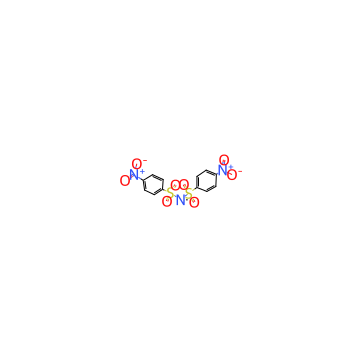 O=[N+]([O-])c1ccc(S(=O)(=O)[N]S(=O)(=O)c2ccc([N+](=O)[O-])cc2)cc1